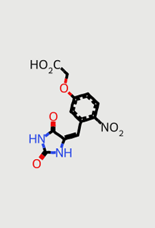 O=C(O)COc1ccc([N+](=O)[O-])c(C=C2NC(=O)NC2=O)c1